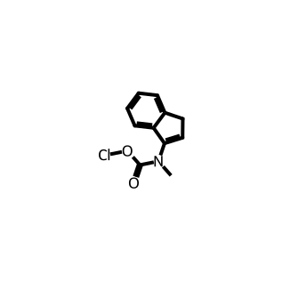 CN(C(=O)OCl)C1=CCc2ccccc21